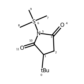 CC(C)(C)C1CC(=O)N(S(C)(C)C)C1=O